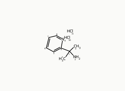 CC(C)(N)c1ccccn1.Cl.Cl